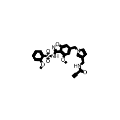 C#CC(=O)NCc1ccn(Cc2cc(OC)c3c(NS(=O)(=O)c4ccccc4OC)noc3c2)c1